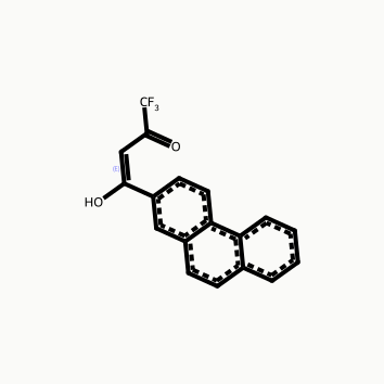 O=C(/C=C(/O)c1ccc2c(ccc3ccccc32)c1)C(F)(F)F